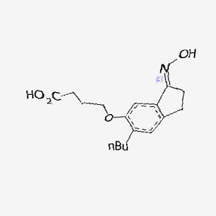 CCCCc1cc2c(cc1OCCCC(=O)O)/C(=N/O)CC2